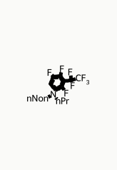 CCCCCCCCCN(CCC)c1cc(F)c(F)c(C(F)(F)C(F)(F)F)c1F